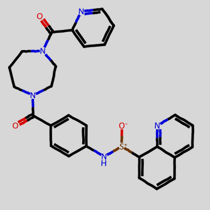 O=C(c1ccc(N[S+]([O-])c2cccc3cccnc23)cc1)N1CCCN(C(=O)c2ccccn2)CC1